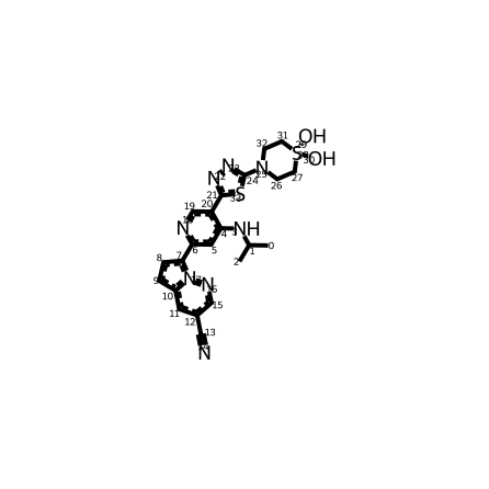 CC(C)Nc1cc(-c2ccc3cc(C#N)cnn23)ncc1-c1nnc(N2CCS(O)(O)CC2)s1